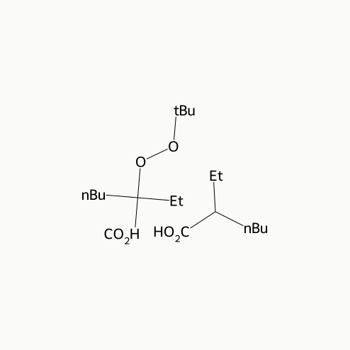 CCCCC(CC)(OOC(C)(C)C)C(=O)O.CCCCC(CC)C(=O)O